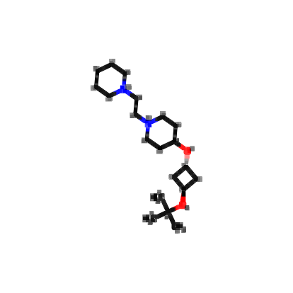 CC(C)(C)O[C@H]1C[C@H](OC2CCN(CCN3CCCCC3)CC2)C1